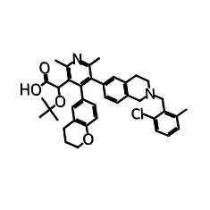 Cc1cccc(Cl)c1CN1CCc2cc(-c3c(C)nc(C)c(C(OC(C)(C)C)C(=O)O)c3-c3ccc4c(c3)CCCO4)ccc2C1